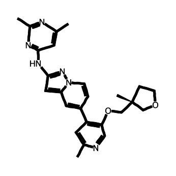 Cc1cc(-c2ccn3nc(Nc4cc(C)nc(C)n4)cc3c2)c(OC[C@]2(C)CCOC2)cn1